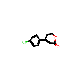 O=C1C=C(c2ccc(Cl)cc2)CCO1